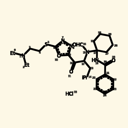 CCN(CC)CCSc1nnc(C(=O)C(CC(C)C)N(C=O)C2(NC(=O)c3ccccc3)CCCCC2)o1.Cl